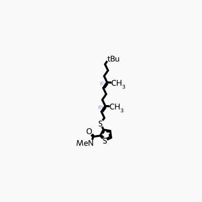 CNC(=O)c1sccc1SC/C=C(\C)CC/C=C(\C)CCCC(C)(C)C